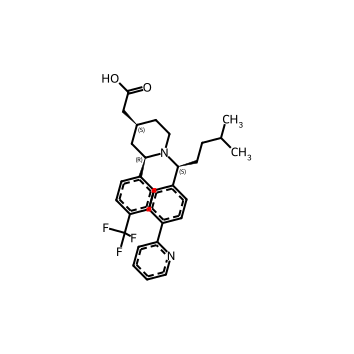 CC(C)CC[C@@H](c1ccc(-c2ccccn2)cc1)N1CC[C@H](CC(=O)O)C[C@@H]1c1ccc(C(F)(F)F)cc1